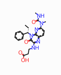 CC[C@@H](c1ccccc1)n1c(=O)c(NCCC(=O)O)nc2ccc(N(C)C(=O)NC)nc21